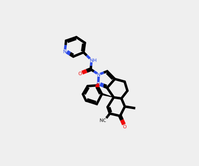 CC1C(=O)C(C#N)=C[C@]2(c3ccccc3)c3nn(C(=O)Nc4cccnc4)cc3CCC12